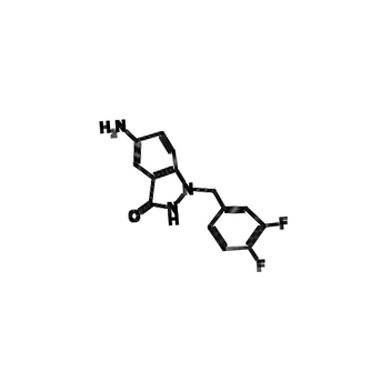 Nc1ccc2c(c1)c(=O)[nH]n2Cc1ccc(F)c(F)c1